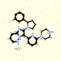 Cl.Fc1cccc(C2CCCN2c2nc3cccnn3c2-c2cccc(N3CCNCC3)n2)c1